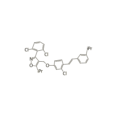 CC(C)c1cccc(/C=C/c2ccc(OCc3c(-c4c(Cl)cccc4Cl)noc3C(C)C)cc2Cl)c1